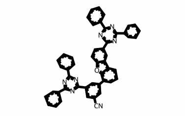 N#Cc1cc(-c2nc(-c3ccccc3)nc(-c3ccccc3)n2)cc(-c2cccc3c2oc2ccc(-c4nc(-c5ccccc5)nc(-c5ccccc5)n4)cc23)c1